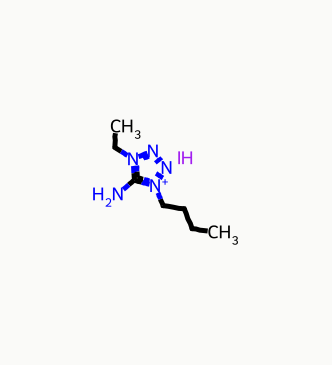 CCCC[n+]1nnn(CC)c1N.I